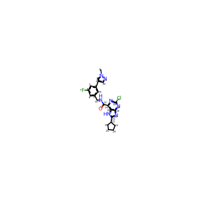 Cn1cc(-c2cc(F)cc(CNC(=O)c3nc(Cl)nc4nc(C5CCCC5)[nH]c34)c2)cn1